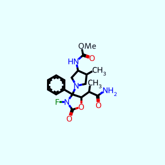 COC(=O)NC1CN(C2(c3ccccc3)C(C(C)C(N)=O)OC(=O)N2F)CC1C